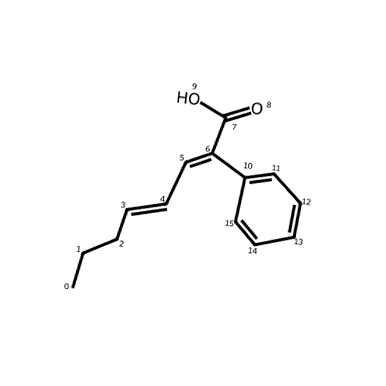 CCC/C=C/C=C(/C(=O)O)c1ccccc1